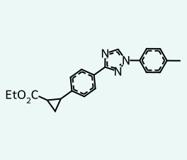 CCOC(=O)C1CC1c1ccc(-c2ncn(-c3ccc(C)cc3)n2)cc1